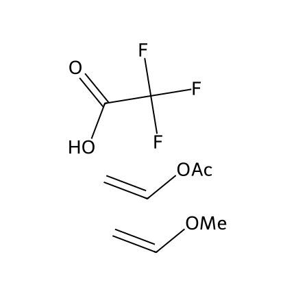 C=COC.C=COC(C)=O.O=C(O)C(F)(F)F